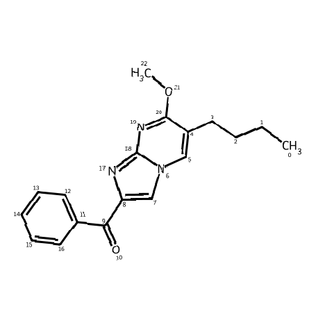 CCCCc1cn2cc(C(=O)c3ccccc3)nc2nc1OC